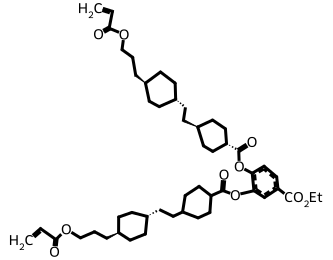 C=CC(=O)OCCC[C@H]1CC[C@H](CCC2CCC(C(=O)Oc3cc(C(=O)OCC)ccc3OC(=O)[C@H]3CC[C@H](CC[C@H]4CC[C@H](CCCOC(=O)C=C)CC4)CC3)CC2)CC1